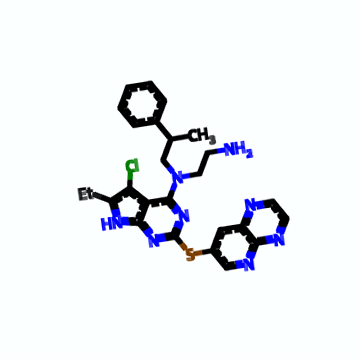 CCc1[nH]c2nc(Sc3cnc4nccnc4c3)nc(N(CCN)CC(C)c3ccccc3)c2c1Cl